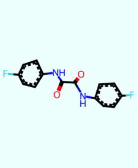 O=C(Nc1ccc(F)cc1)C(=O)Nc1ccc(F)cc1